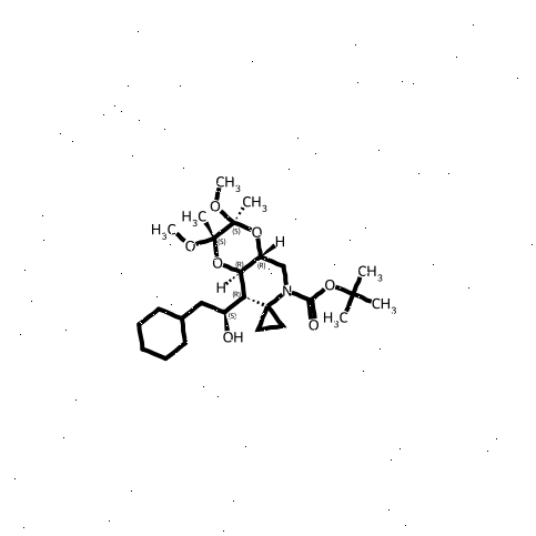 CO[C@@]1(C)O[C@@H]2[C@@H]([C@@H](O)CC3CCCCC3)C3(CC3)N(C(=O)OC(C)(C)C)C[C@H]2O[C@]1(C)OC